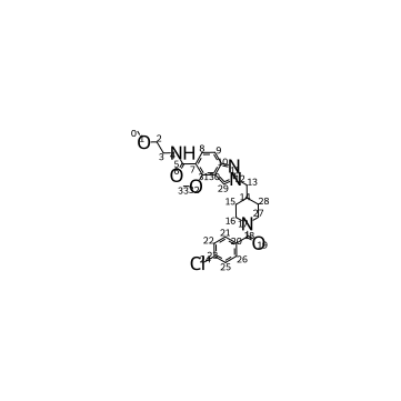 COCCNC(=O)c1ccc2nn(CC3CCN(C(=O)c4ccc(Cl)cc4)CC3)cc2c1OC